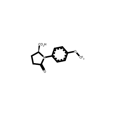 O=C(O)[C@@H]1CCC(=O)N1c1ccc(OC(F)(F)F)cc1